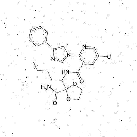 CCCCC(NC(=O)c1cc(Cl)cnc1-n1cnc(-c2ccccc2)c1)C1(C(N)=O)OCCO1